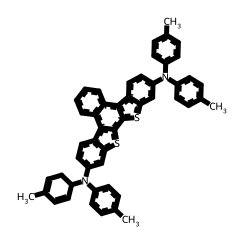 CC1=CCC(N(c2ccc(C)cc2)c2ccc3c(c2)sc2c4sc5cc(N(c6ccc(C)cc6)c6ccc(C)cc6)ccc5c4c4ccccc4c32)C=C1